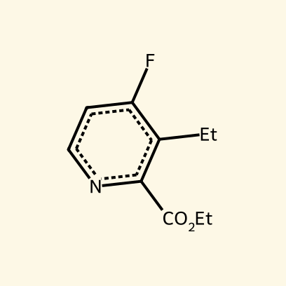 CCOC(=O)c1nccc(F)c1CC